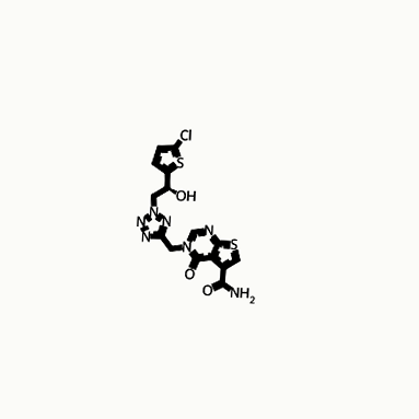 NC(=O)c1csc2ncn(Cc3nnn(C[C@H](O)c4ccc(Cl)s4)n3)c(=O)c12